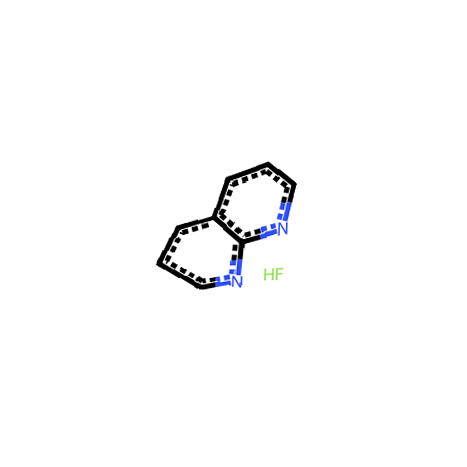 F.c1cnc2ncccc2c1